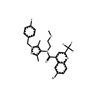 COCCN(C(=O)c1cc(C(F)(F)F)nc2ccc(Br)cc12)c1c(C)nn(Cc2ccc(F)cc2)c1C